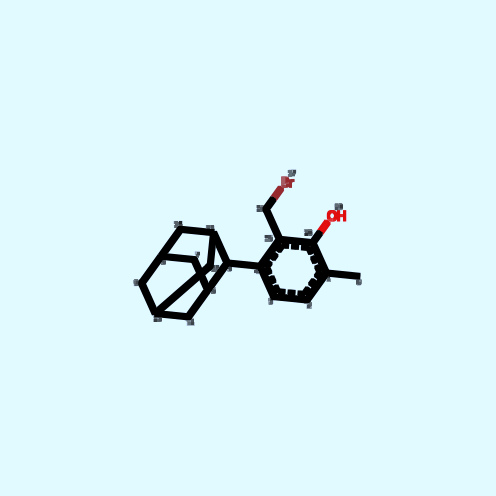 Cc1ccc(C2C3CC4CC(C3)CC2C4)c(CBr)c1O